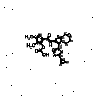 Cc1c(OC(=O)O)c(C(=O)Nc2sc3c(c2-c2nc(C4CC4)no2)CCOC3)nn1C